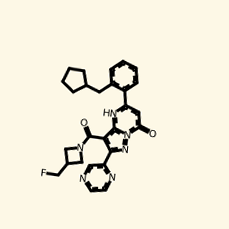 O=C(c1c(-c2cnccn2)nn2c(=O)cc(-c3ccccc3CC3CCCC3)[nH]c12)N1CC(CF)C1